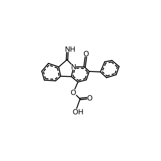 N=C1c2ccccc2-c2c(OC(=O)O)cc(-c3ccccc3)c(=O)n21